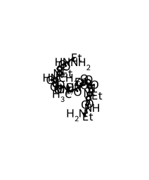 CCc1c(C)c(-c2cc3c(c(=O)[nH]2)COC(=O)[C@H]3OC(=O)CNC(=O)[C@@H](C)CCC(=O)NCC(=O)O[C@]2(CC)C(=O)OCc3c2cc2n(c3=O)Cc3c-2nc2ccc(OC(=O)NCCC(N)CC)cc2c3CC)nc2ccc(OC(=O)NCCC(N)CC)cc12